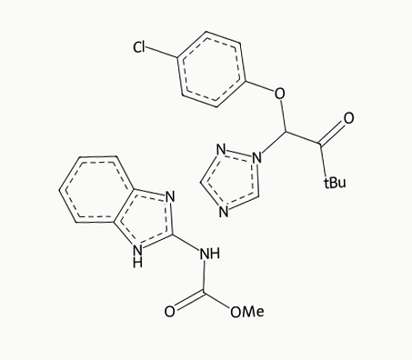 CC(C)(C)C(=O)C(Oc1ccc(Cl)cc1)n1cncn1.COC(=O)Nc1nc2ccccc2[nH]1